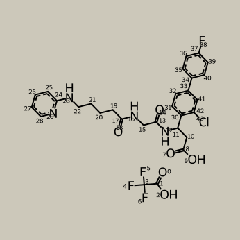 O=C(O)C(F)(F)F.O=C(O)CC(NC(=O)CNC(=O)CCCCNc1ccccn1)c1ccc(-c2ccc(F)cc2)cc1Cl